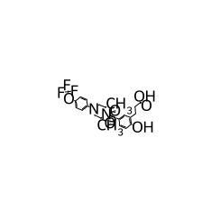 CC1CN(c2ccc(OC(F)(F)F)cc2)CC(C)N1S(=O)(=O)c1ccc(O)c(CCC(=O)O)c1